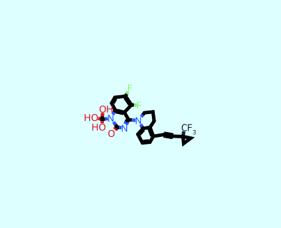 O=c1nc(N2CCCc3c(C#CC4(C(F)(F)F)CC4)cccc32)c2c(F)c(F)ccc2n1C(O)(O)O